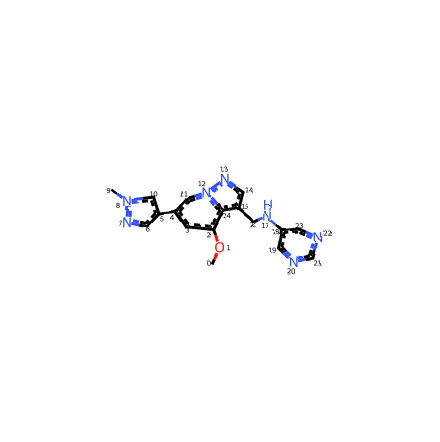 COc1cc(-c2cnn(C)c2)cn2ncc(CNc3cncnc3)c12